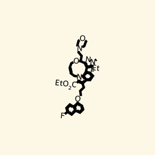 CCOC(=O)c1c(CCCOc2cccc3cc(F)ccc23)c2ccc(F)c3c2n1C/C=C\COC(CCN1CCOCC1)c1nn(C)c(CC)c1-3